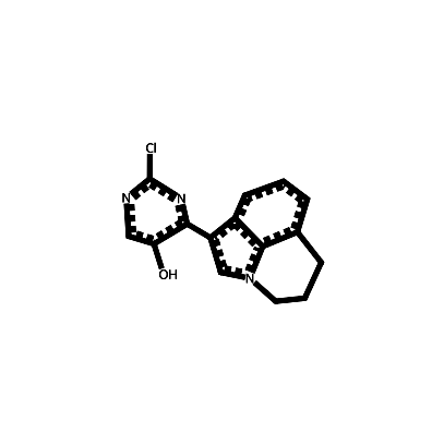 Oc1cnc(Cl)nc1-c1cn2c3c(cccc13)CCC2